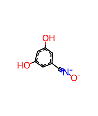 [O-][N+]#Cc1cc(O)cc(O)c1